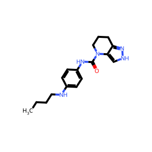 CCCCNc1ccc(NC(=O)N2CCCc3n[nH]cc32)cc1